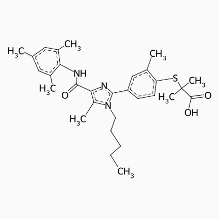 CCCCCn1c(-c2ccc(SC(C)(C)C(=O)O)c(C)c2)nc(C(=O)Nc2c(C)cc(C)cc2C)c1C